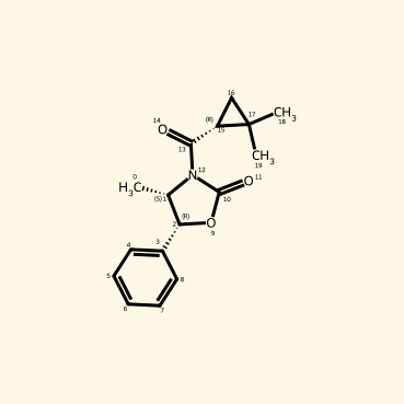 C[C@H]1[C@@H](c2ccccc2)OC(=O)N1C(=O)[C@@H]1CC1(C)C